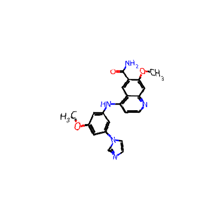 COc1cc(Nc2ccnc3cc(OC)c(C(N)=O)cc23)cc(-n2ccnc2)c1